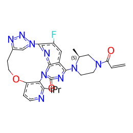 C=CC(=O)N1CCN(c2nc(=O)n3c4nc(c(F)cc24)-n2cc(nn2)CCOc2ccnc(C(C)C)c2-3)[C@@H](C)C1